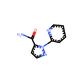 NC(=O)c1ccnn1-c1ccccn1